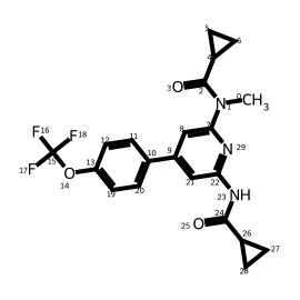 CN(C(=O)C1CC1)c1cc(-c2ccc(OC(F)(F)F)cc2)cc(NC(=O)C2CC2)n1